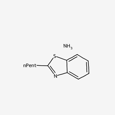 CCCCCc1nc2ccccc2s1.N